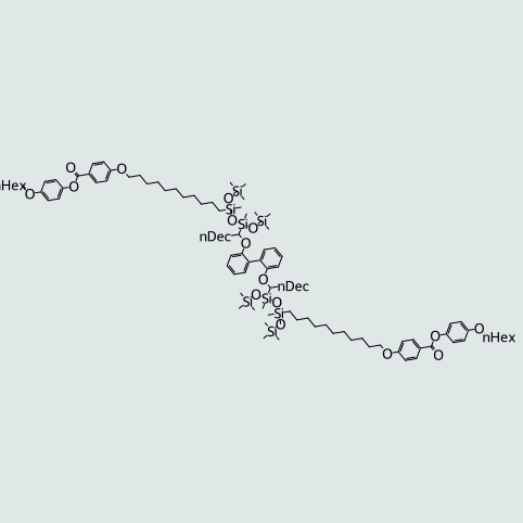 CCCCCCCCCCC(Oc1ccccc1-c1ccccc1OC(CCCCCCCCCC)[Si](C)(O[Si](C)(C)C)O[Si](C)(CCCCCCCCCCCOc1ccc(C(=O)Oc2ccc(OCCCCCC)cc2)cc1)O[Si](C)(C)C)[Si](C)(O[Si](C)(C)C)O[Si](C)(CCCCCCCCCCCOc1ccc(C(=O)Oc2ccc(OCCCCCC)cc2)cc1)O[Si](C)(C)C